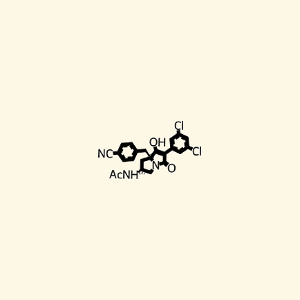 CC(=O)N[C@@H]1CN2C(=O)C(c3cc(Cl)cc(Cl)c3)=C(O)[C@@]2(Cc2ccc(C#N)cc2)C1